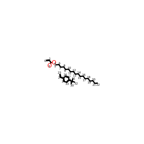 C=CC(=O)OCCCCCCCCCCCCCCCCCC.C=Cc1ccc(C(C)(C)C)cc1